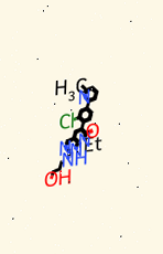 CCn1c(=O)c(-c2ccc(-c3cccc(C)n3)cc2Cl)cc2cnc(NCCCO)nc21